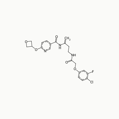 C=C(CCNC(=O)COc1ccc(Cl)c(F)c1)NC(=O)c1ccc(OC2COC2)nc1